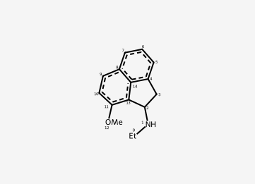 CCNC1Cc2cccc3ccc(OC)c1c23